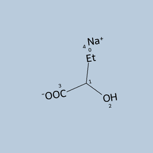 CCC(O)C(=O)[O-].[Na+]